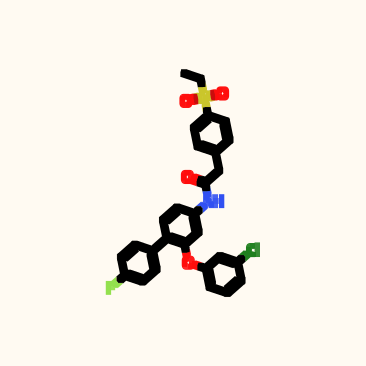 CCS(=O)(=O)c1ccc(CC(=O)Nc2ccc(-c3ccc(F)cc3)c(Oc3cccc(Cl)c3)c2)cc1